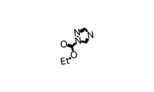 CCOC(=O)n1cncn1